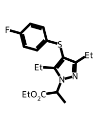 CCOC(=O)C(C)n1nc(CC)c(Sc2ccc(F)cc2)c1CC